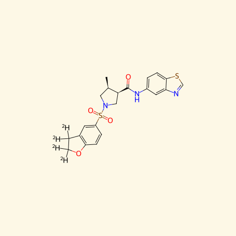 [2H]C1([2H])Oc2ccc(S(=O)(=O)N3C[C@@H](C)[C@@H](C(=O)Nc4ccc5scnc5c4)C3)cc2C1([2H])[2H]